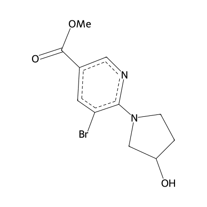 COC(=O)c1cnc(N2CCC(O)C2)c(Br)c1